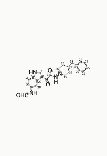 O=CNc1ccc2[nH]cc(C(=O)C(=O)NN3CCC(Cc4ccccc4)CC3)c2c1